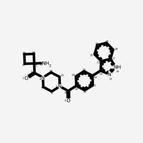 NC1(C(=O)N2CCN(C(=O)c3ccc(-c4n[nH]c5ccccc45)cc3)CC2)CCC1